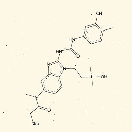 Cc1ccc(NC(=O)Nc2nc3cc(N(C)C(=O)CC(C)(C)C)ccc3n2CCC(C)(C)O)cc1C#N